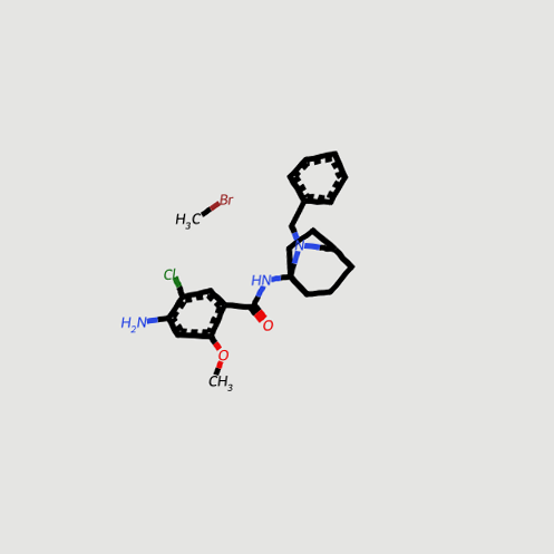 CBr.COc1cc(N)c(Cl)cc1C(=O)NC12CCCC(CC1)N2Cc1ccccc1